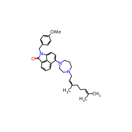 COc1ccc(CN2C(=O)c3cccc4c(N5CCCN(CC=C(C)CCC=C(C)C)CC5)ccc2c34)cc1